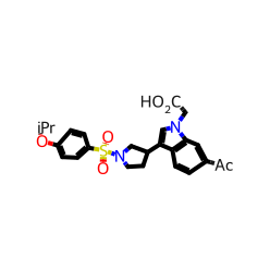 CC(=O)c1ccc2c(C3CCN(S(=O)(=O)c4ccc(OC(C)C)cc4)C3)cn(CC(=O)O)c2c1